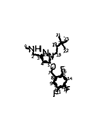 CNCc1cc(OCc2cc(F)c(F)cc2F)n(CCC(C)(C)C)n1